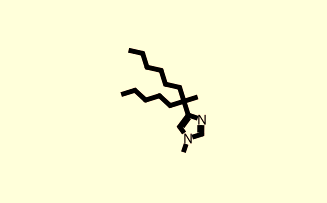 CCCCCCC(C)(CCCCC)c1cn(C)cn1